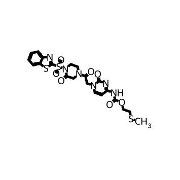 CSCCOC(=O)Nc1ccn(CC(=O)N2CCN(S(=O)(=O)c3nc4ccccc4s3)C(=O)C2)c(=O)n1